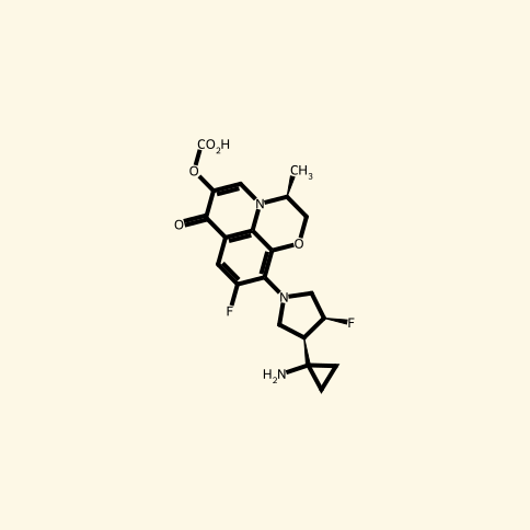 C[C@H]1COc2c(N3C[C@@H](F)[C@@H](C4(N)CC4)C3)c(F)cc3c(=O)c(OC(=O)O)cn1c23